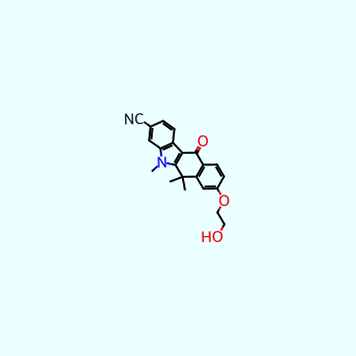 Cn1c2c(c3ccc(C#N)cc31)C(=O)c1ccc(OCCO)cc1C2(C)C